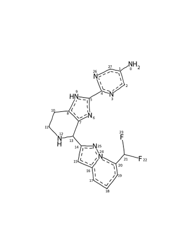 Nc1cnc(-c2nc3c([nH]2)CCNC3c2cc3cccc(C(F)F)n3n2)nc1